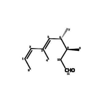 C/C=C\C(C)=C\[C@H](C)[C@@H](C)CC=O